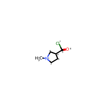 CN1CCC(C(=O)Cl)C1